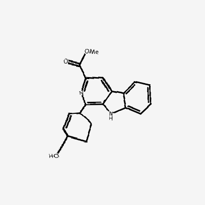 COC(=O)c1cc2c([nH]c3ccccc32)c(C2C=CC(O)CC2)n1